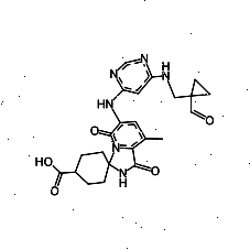 Cc1cc(Nc2cc(NCC3(C=O)CC3)ncn2)c(=O)n2c1C(=O)NC21CCC(C(=O)O)CC1